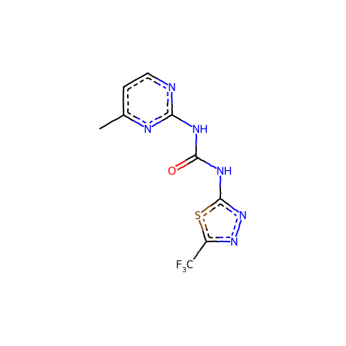 Cc1ccnc(NC(=O)Nc2nnc(C(F)(F)F)s2)n1